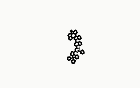 CC1(C)c2cccc(-c3ccc(-c4ccc(-c5cc(-c6cccc7c6-c6ccccc6C7(c6ccccc6)c6ccccc6)nc(-c6ccccc6)n5)c5ccccc45)c4ccccc34)c2-c2c1ccc1ccccc21